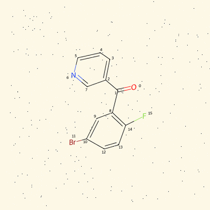 O=C(c1cccnc1)c1cc(Br)ccc1F